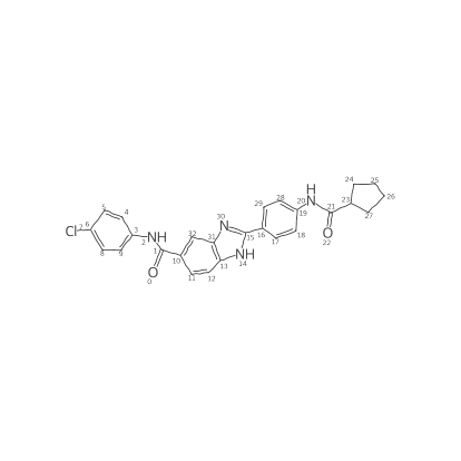 O=C(Nc1ccc(Cl)cc1)c1ccc2[nH]c(-c3ccc(NC(=O)C4CCCC4)cc3)nc2c1